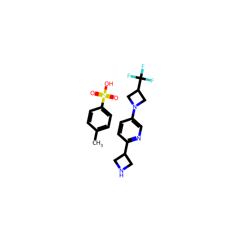 Cc1ccc(S(=O)(=O)O)cc1.FC(F)(F)C1CN(c2ccc(C3CNC3)nc2)C1